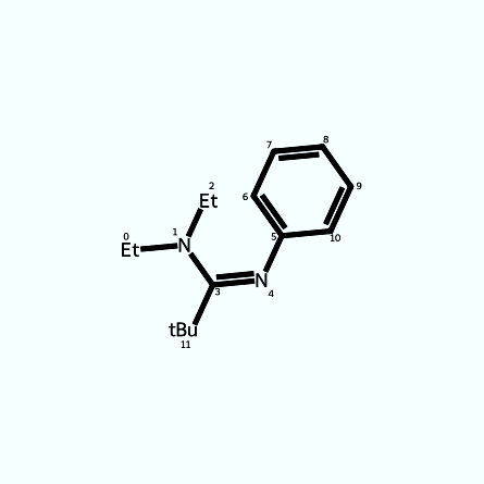 CCN(CC)C(=Nc1ccccc1)C(C)(C)C